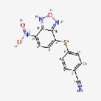 N#Cc1ccc(Sc2ccc([N+](=O)[O-])c3nonc23)cc1